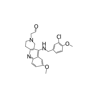 COc1ccc2nc3c(c(NCc4ccc(OC)c(Cl)c4)c2c1)CN(CC=O)CC3